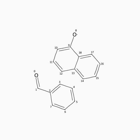 O=Cc1ccccc1.[O]c1cccc2ccccc12